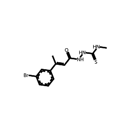 CNC(=S)NNC(=O)/C=C(\C)c1cccc(Br)c1